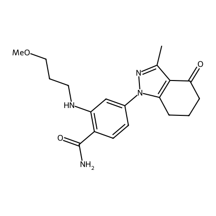 COCCCNc1cc(-n2nc(C)c3c2CCCC3=O)ccc1C(N)=O